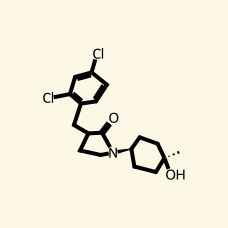 C[C@]1(O)CC[C@@H](N2CCC(Cc3ccc(Cl)cc3Cl)C2=O)CC1